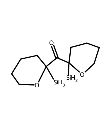 O=C(C1([SiH3])CCCCO1)C1([SiH3])CCCCO1